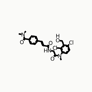 CN(C)C(=O)c1ccc(/C=C/C(=O)NCC(=O)N(C)c2ccc(Cl)c(CO)c2Cl)cc1